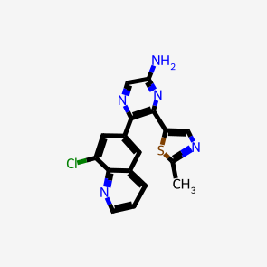 Cc1ncc(-c2nc(N)cnc2-c2cc(Cl)c3ncccc3c2)s1